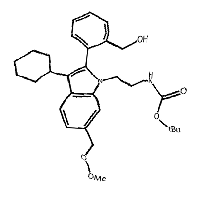 COOCc1ccc2c(C3CCCCC3)c(-c3ccccc3CO)n(CCNC(=O)OC(C)(C)C)c2c1